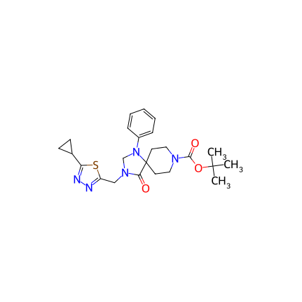 CC(C)(C)OC(=O)N1CCC2(CC1)C(=O)N(Cc1nnc(C3CC3)s1)CN2c1ccccc1